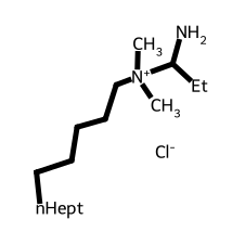 CCCCCCCCCCCC[N+](C)(C)C(N)CC.[Cl-]